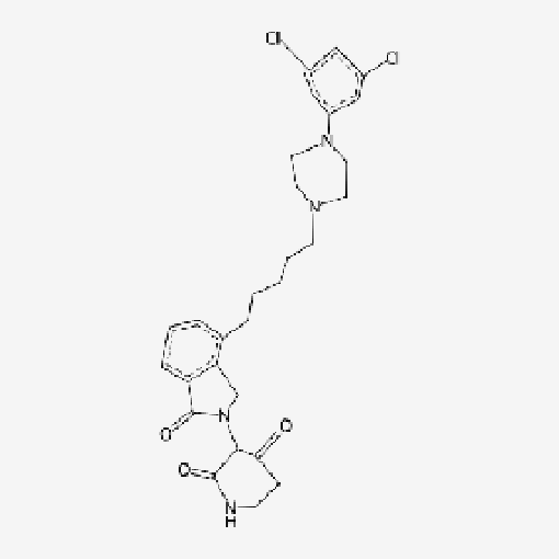 O=C1CCNC(=O)C1N1Cc2c(CCCCCN3CCN(c4cc(Cl)cc(Cl)c4)CC3)cccc2C1=O